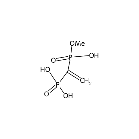 C=C(P(=O)(O)O)P(=O)(O)OC